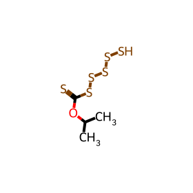 CC(C)OC(=S)SSSSS